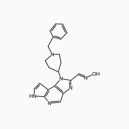 ON=Cc1nc2cnc3[nH]ccc3c2n1C1CCN(Cc2ccccc2)CC1